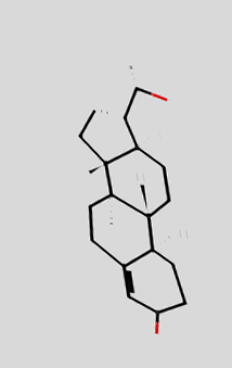 C[C@H](O)[C@H]1CC[C@H]2[C@@H]3CCC4=CC(O)CC[C@]4(C)[C@H]3CC[C@]12C